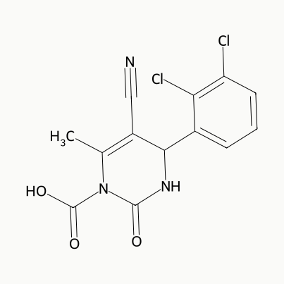 CC1=C(C#N)C(c2cccc(Cl)c2Cl)NC(=O)N1C(=O)O